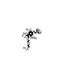 C=CCOCCOCC(O)(c1cc(C)c(/N=C/N(C)CC)cc1OC)C(F)(F)F